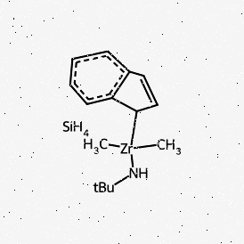 CC(C)(C)[NH][Zr]([CH3])([CH3])[CH]1C=Cc2ccccc21.[SiH4]